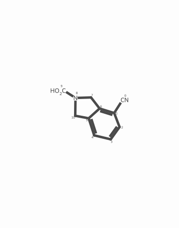 N#Cc1cccc2c1CN(C(=O)O)C2